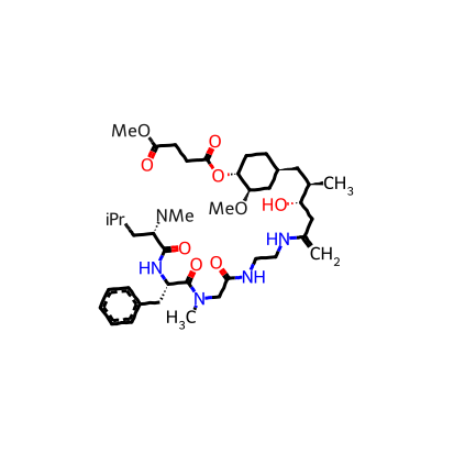 C=C(C[C@H](O)[C@H](C)C[C@@H]1CC[C@@H](OC(=O)CCC(=O)OC)[C@H](OC)C1)NCCNC(=O)CN(C)C(=O)[C@H](Cc1ccccc1)NC(=O)[C@H](CC(C)C)NC